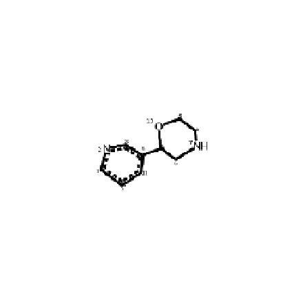 [c]1cncc(C2CNCCO2)c1